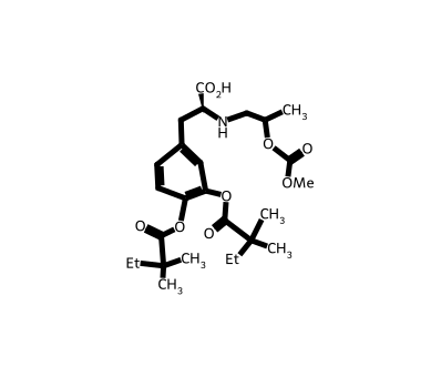 CCC(C)(C)C(=O)Oc1ccc(C[C@H](NCC(C)OC(=O)OC)C(=O)O)cc1OC(=O)C(C)(C)CC